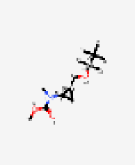 COC(=O)N(C)[C@@H]1C[C@@H]1CO[Si](C)(C)C(C)(C)C